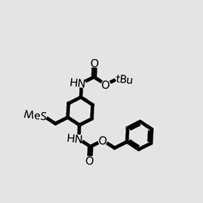 CSCC1CC(NC(=O)OC(C)(C)C)CCC1NC(=O)OCc1ccccc1